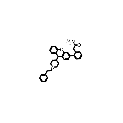 NC(=O)Cc1ccccc1-c1ccc2c(c1)Oc1ccccc1C2C1CCN(CCc2ccccc2)CC1